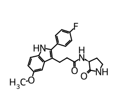 COc1ccc2[nH]c(-c3ccc(F)cc3)c(CCC(=O)N[C@H]3CCNC3=O)c2c1